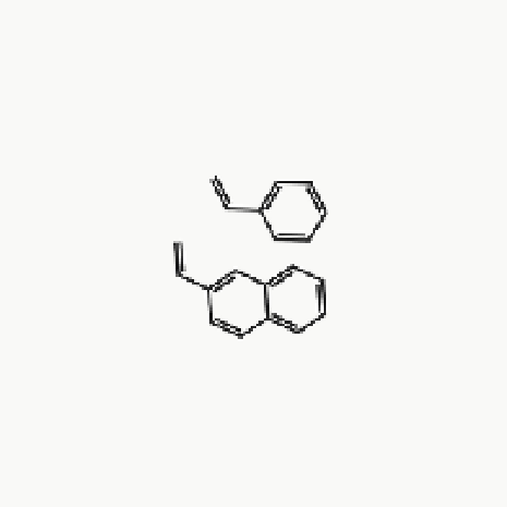 C=Cc1ccc2ccccc2c1.C=Cc1ccccc1